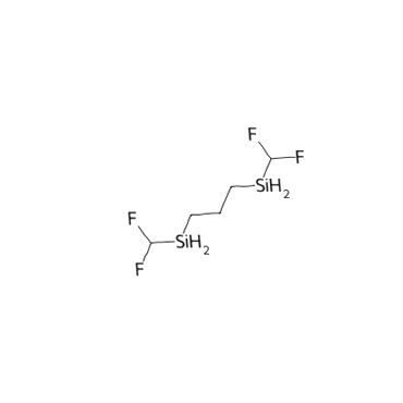 FC(F)[SiH2]CCC[SiH2]C(F)F